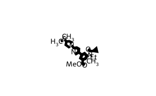 CCN(C(=O)C1CC1)c1cc(-c2ccc(N3CCC(N(C)C)CC3)nc2)cc(C(=O)OC)c1C